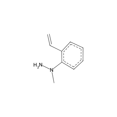 C=Cc1ccccc1N(C)N